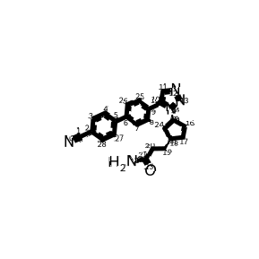 N#Cc1ccc(-c2ccc(-c3cnnn3[C@@H]3CC[C@@H](CCC(N)=O)C3)cc2)cc1